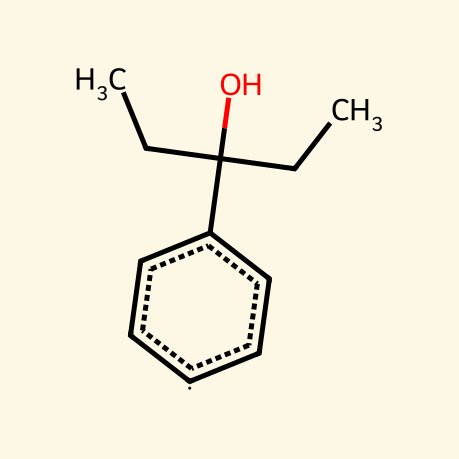 CCC(O)(CC)c1cc[c]cc1